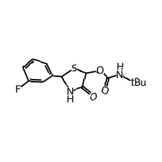 CC(C)(C)NC(=O)OC1SC(c2cccc(F)c2)NC1=O